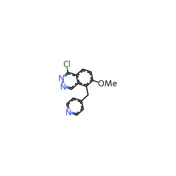 COc1ccc2c(Cl)nncc2c1Cc1ccncc1